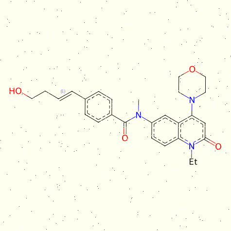 CCn1c(=O)cc(N2CCOCC2)c2cc(N(C)C(=O)c3ccc(/C=C/CCO)cc3)ccc21